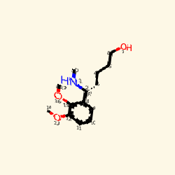 CN[C@H](CCCCO)c1cccc(OC)c1OC